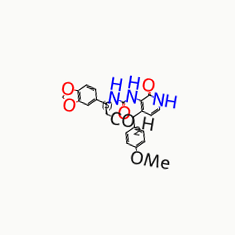 COc1ccc(Cc2cc[nH]c(=O)c2NC(=O)N[C@@H](CC(=O)O)c2ccc3c(c2)OCO3)cc1